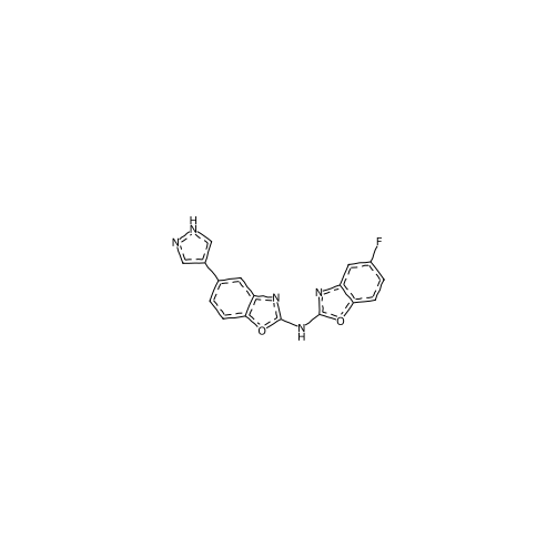 Fc1ccc2oc(Nc3nc4cc(-c5cn[nH]c5)ccc4o3)nc2c1